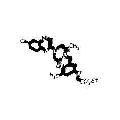 CCOC(=O)COc1cc(C)cc(CN2[C@H](C)CN(c3cnc4cc(Cl)ccc4n3)C[C@@H]2C)c1